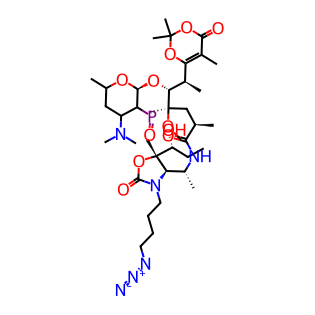 CC[C@@H](O)[C@@]1(C)OC(=O)N(CCCCN=[N+]=[N-])[C@@H]1[C@@H](C)NC(=O)[C@H](C)C[C@@](C)(OC)[C@H](O[C@@H]1OC(C)CC(N(C)C)C1P=O)[C@H](C)C1=C(C)C(=O)OC(C)(C)O1